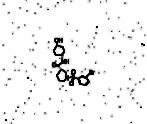 O=C(N[C@H]1CC[C@H](O)CC1)[C@H]1CCCN(S(=O)(=O)c2cccc(Br)c2)C1